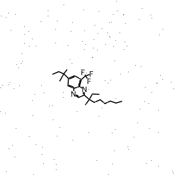 CCCCCCC(C)(CC)c1cnc2cc(C(C)(C)CC)cc(C(F)(F)F)c2n1